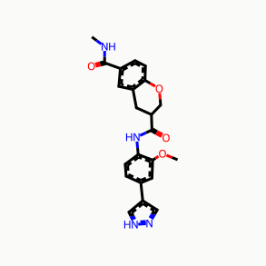 CNC(=O)c1ccc2c(c1)CC(C(=O)Nc1ccc(-c3cn[nH]c3)cc1OC)CO2